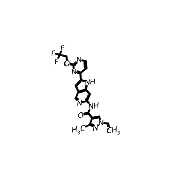 CCn1cc(C(=O)Nc2cc3[nH]c(-c4ccnc(OCC(F)(F)F)n4)cc3cn2)c(C)n1